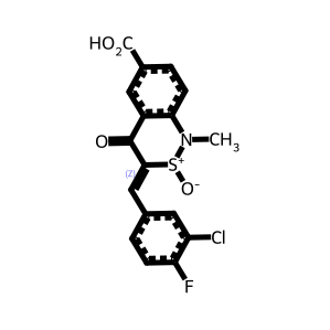 CN1c2ccc(C(=O)O)cc2C(=O)/C(=C/c2ccc(F)c(Cl)c2)[S+]1[O-]